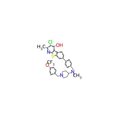 Cc1nc2sc3cc(-c4ccc(CN(C)C5CCN(Cc6ccc(OC(F)(F)F)cc6)CC5)cc4)ccc3c2c(O)c1Cl